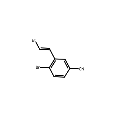 CC/C=C/c1cc(C#N)ccc1Br